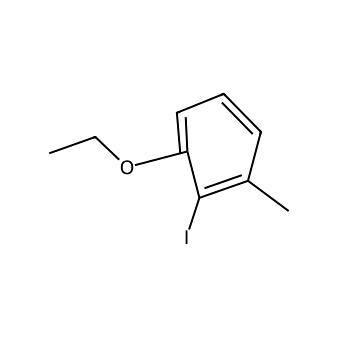 CCOc1cccc(C)c1I